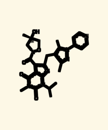 Cc1nn(-c2ccncc2)c(C)c1Cc1sc2c(c1C(=O)N1C[C@](C)(O)CO1)c(=O)n(C)c(=O)n2C(C)C